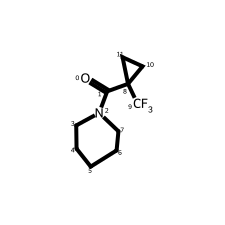 O=C(N1CCCCC1)C1(C(F)(F)F)CC1